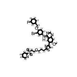 COc1cc2ncnc(Nc3ccc(OCc4cccc(F)c4)c(Br)c3)c2cc1-c1csc(CCCOCCS(=O)(=O)c2ccccn2)n1